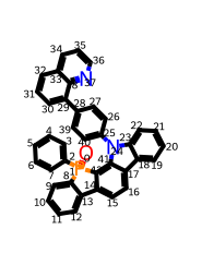 O=P1(c2ccccc2)c2ccccc2-c2ccc3c4ccccc4n(-c4ccc(-c5cccc6cccnc56)cc4)c3c21